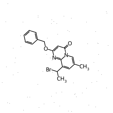 Cc1cc(C(C)Br)c2nc(OCc3ccccc3)cc(=O)n2c1